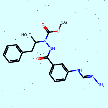 CC(C)(C)OC(=O)N(NC(=O)c1cccc(NC=NN)c1)C(Cc1ccccc1)C(=O)O